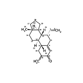 C=C[C@@H]1CC2=CC(=O)C(=C)C[C@@H]2[C@H]2CC[C@]3(C)CCC[C@H]3[C@@H]21